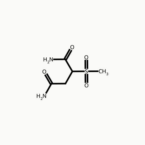 CS(=O)(=O)C(CC(N)=O)C(N)=O